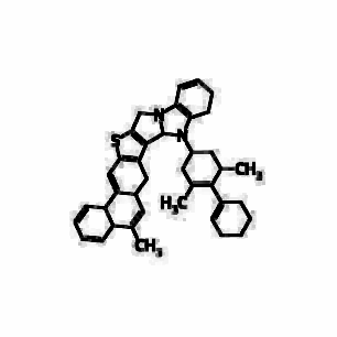 CC1=CC2Cc3c(sc4c3C3N(C4)C4=C(CCC=C4)N3C3CC(C)=C(C4=CCCCC4)C(C)C3)C=C2C2C=CC=CC12